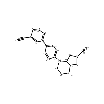 N#Cc1cccc(-c2cnc(N3CCOC4CN(C#N)CC43)cn2)c1